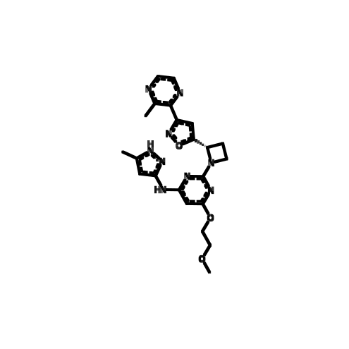 COCCOc1cc(Nc2cc(C)[nH]n2)nc(N2CC[C@H]2c2cc(-c3nccnc3C)no2)n1